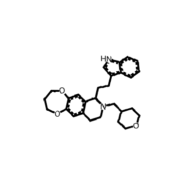 c1ccc2c(CCC3c4cc5c(cc4CCN3CC3CCOCC3)OCCCO5)c[nH]c2c1